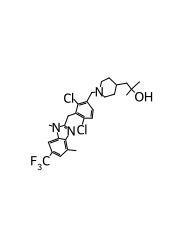 Cc1cc(C(F)(F)F)cc2c1nc(Cc1c(Cl)ccc(CN3CCC(CC(C)(C)O)CC3)c1Cl)n2C